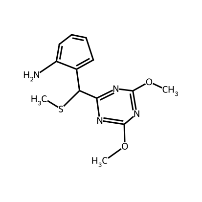 COc1nc(OC)nc(C(SC)c2ccccc2N)n1